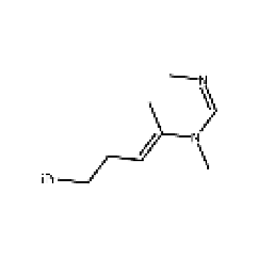 C/N=C\N(C)/C(C)=C/CCC(C)C